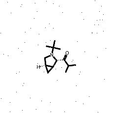 CC(C)C(=O)[C@@H]1C2C[C@H]2CN1C(C)(C)C